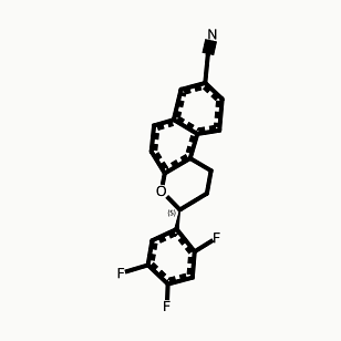 N#Cc1ccc2c3c(ccc2c1)O[C@H](c1cc(F)c(F)cc1F)CC3